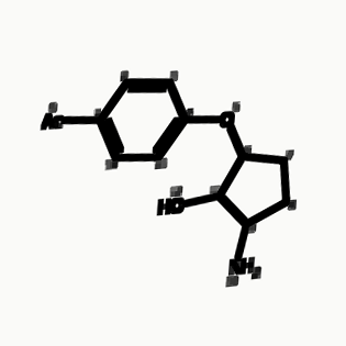 CC(=O)c1ccc(OC2CCC(N)C2O)cc1